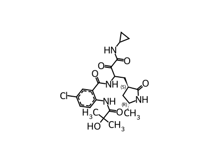 C[C@@H]1C[C@@H](CC(NC(=O)c2cc(Cl)ccc2NC(=O)C(C)(C)O)C(=O)C(=O)NC2CC2)C(=O)N1